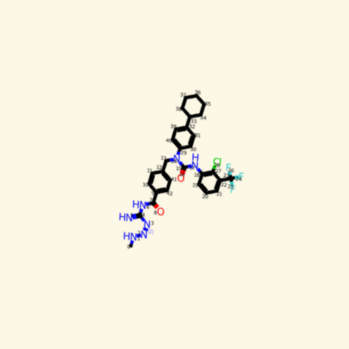 CN/N=N\C(=N)NC(=O)c1ccc(CN(C(=O)Nc2cccc(C(F)(F)F)c2Cl)c2ccc(C3CCCCC3)cc2)cc1